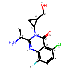 C[C@H](N)c1nc2c(F)ccc(Cl)c2c(=O)n1C1CC1CO